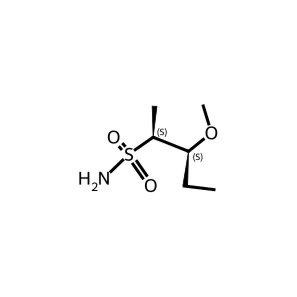 CC[C@H](OC)[C@H](C)S(N)(=O)=O